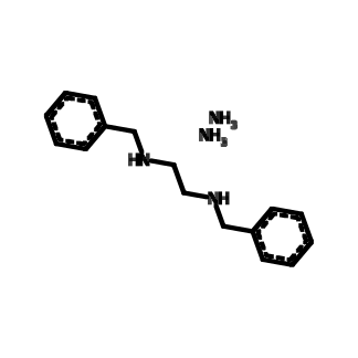 N.N.c1ccc(CNCCNCc2ccccc2)cc1